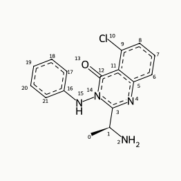 C[C@H](N)c1nc2cccc(Cl)c2c(=O)n1Nc1ccccc1